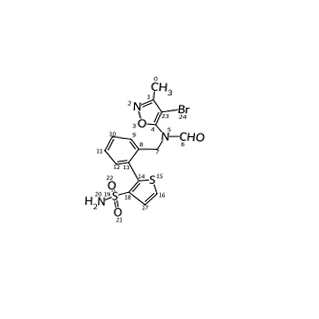 Cc1noc(N(C=O)Cc2ccccc2-c2sccc2S(N)(=O)=O)c1Br